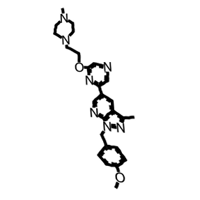 COc1ccc(Cn2nc(C)c3cc(-c4cncc(OCCN5CCN(C)CC5)n4)cnc32)cc1